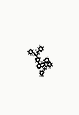 c1ccc(-c2cc(-c3ccc(-c4cccc5c4cc(-c4ccccc4)c4c(-c6ccccc6)nn(-c6ccccc6)c45)cc3)cc(-c3ccccc3)n2)cc1